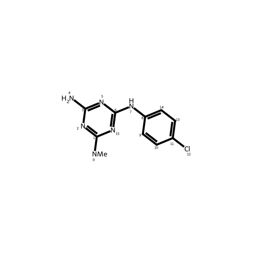 CNc1nc(N)nc(Nc2ccc(Cl)cc2)n1